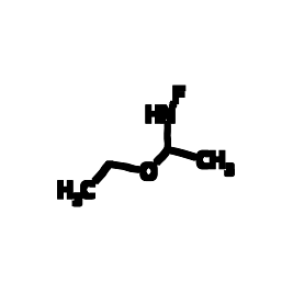 CCOC(C)NF